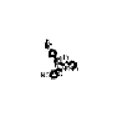 CCCn1c(-c2ccc(-n3ccnc3)cc2)cnc1[C@H](Cc1ccccn1)N(C=O)c1cc2cc(C#N)ccc2o1